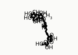 CC1C(OC2C(CO)OC(OCCn3cc(CCC#Cc4cn([C@H]5C[C@@H](O)[C@@H](CO)O5)c(=O)[nH]c4=O)nn3)C(C)C2O)OC(CO)C(O)C1O